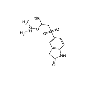 C[SiH](C)OC(CS(=O)(=O)c1ccc2c(c1)CC(=O)N2)C(C)(C)C